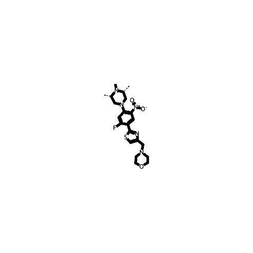 C[C@@H]1CN(c2cc(F)c(-c3nc(CN4CCOCC4)cs3)cc2[N+](=O)[O-])C[C@H](C)N1C